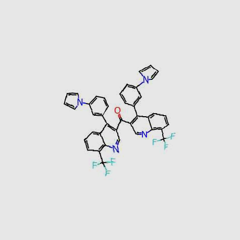 O=C(c1cnc2c(C(F)(F)F)cccc2c1-c1cccc(-n2cccc2)c1)c1cnc2c(C(F)(F)F)cccc2c1-c1cccc(-n2cccc2)c1